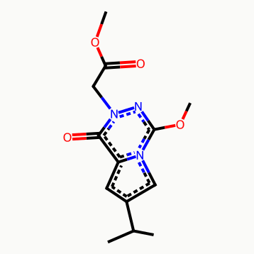 COC(=O)Cn1nc(OC)n2cc(C(C)C)cc2c1=O